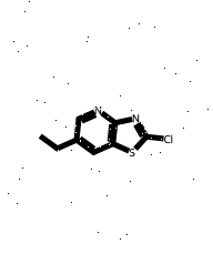 CCc1cnc2nc(Cl)sc2c1